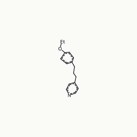 CCOc1ccc(CCCc2ccncc2)cc1